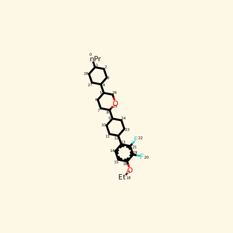 CCCC1CCC(C2CCC(C3CCC(c4ccc(OCC)c(F)c4F)CC3)OC2)CC1